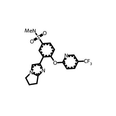 CNS(=O)(=O)c1ccc(Oc2ccc(C(F)(F)F)cn2)c(-c2cn3c(n2)CCC3)c1